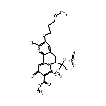 COCCCOc1cc2c(nc1Cl)-c1cc(=O)c(C(=O)OC)c(C)n1[C@H](C(C)(C)C)C2.[N-]=[N+]=[N-]